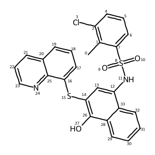 Cc1c(Cl)cccc1S(=O)(=O)Nc1cc(Sc2cccc3cccnc23)c(O)c2ccccc12